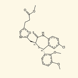 COC(=O)CCc1cnc(C[C@@H]2S[C@@H](c3cccc(OC)c3OC)c3cc(Cl)ccc3NC2=S)o1